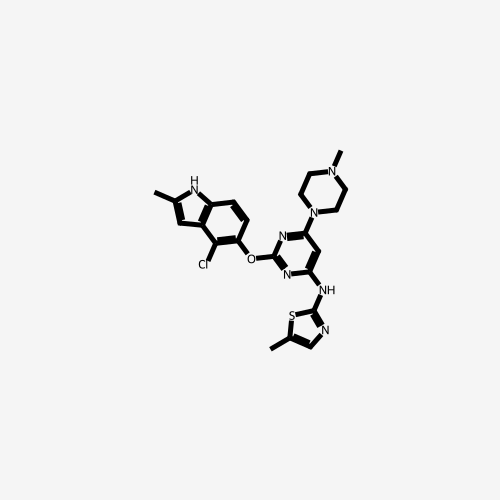 Cc1cc2c(Cl)c(Oc3nc(Nc4ncc(C)s4)cc(N4CCN(C)CC4)n3)ccc2[nH]1